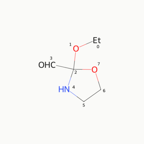 CCOC1(C=O)NCCO1